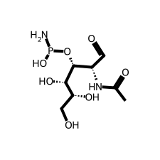 CC(=O)N[C@@H](C=O)[C@@H](OP(N)O)[C@@H](O)[C@H](O)CO